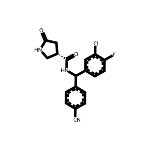 N#Cc1ccc(C(NC(=O)[C@@H]2CNC(=O)C2)c2ccc(F)c(Cl)c2)cc1